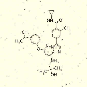 Cc1cc(-c2cnc3c(NCC(C)(C)O)cc(Oc4cccc(C(C)C)c4)nn23)ccc1C(=O)NC1CC1